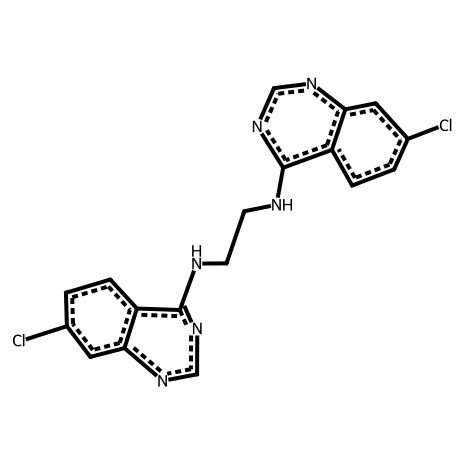 Clc1ccc2c(NCCNc3ncnc4cc(Cl)ccc34)ncnc2c1